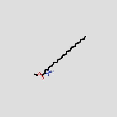 CCCCCCCCCCCCCCCCCc1cc(C(=O)OCC)n[nH]1